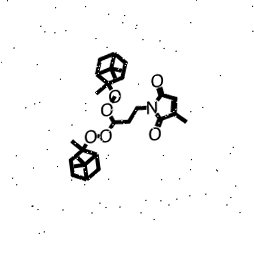 CC1=CC(=O)N(CCC(OOC2(C)CCC3CC2C3(C)C)OOC2(C)CCC3CC2C3(C)C)C1=O